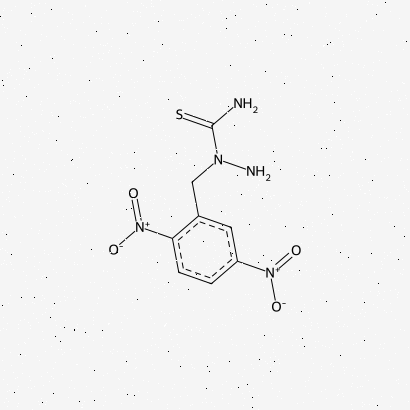 NC(=S)N(N)Cc1cc([N+](=O)[O-])ccc1[N+](=O)[O-]